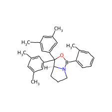 Cc1cc(C)cc(C2(c3cc(C)cc(C)c3)OB(c3ccccc3C)N3CCC[C@H]32)c1